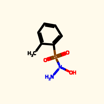 Cc1ccccc1S(=O)(=O)N(N)O